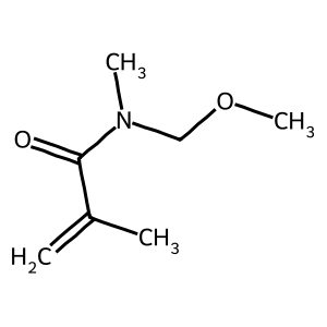 C=C(C)C(=O)N(C)COC